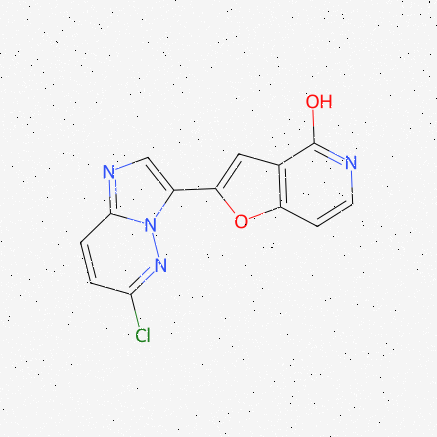 Oc1nccc2oc(-c3cnc4ccc(Cl)nn34)cc12